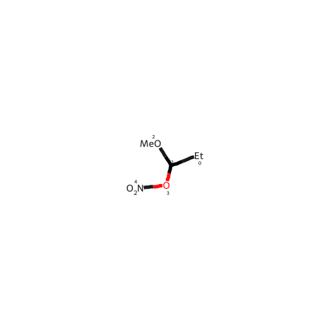 CCC(OC)O[N+](=O)[O-]